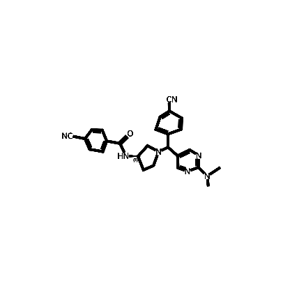 CN(C)c1ncc(C(c2ccc(C#N)cc2)N2CC[C@@H](NC(=O)c3ccc(C#N)cc3)C2)cn1